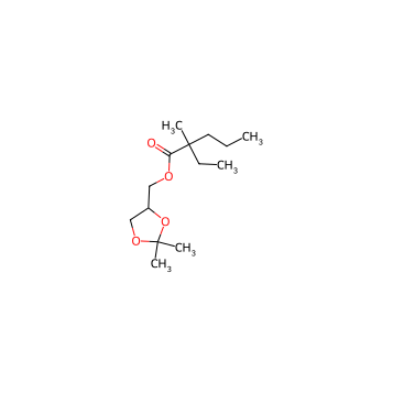 CCCC(C)(CC)C(=O)OCC1COC(C)(C)O1